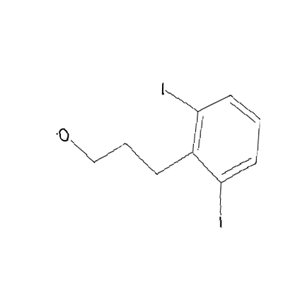 [O]CCCc1c(I)cccc1I